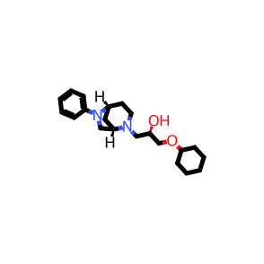 O[C@@H](COC1CCCCC1)CN1CC[C@@H]2C[C@H]1CN2c1ccccc1